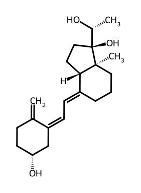 C=C1CC[C@@H](O)C/C1=C/C=C1\CCC[C@@]2(C)[C@H]1CC[C@]2(O)[C@@H](C)O